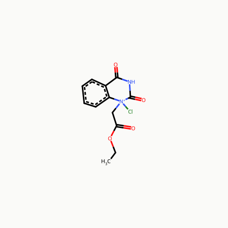 CCOC(=O)C[N+]1(Cl)C(=O)NC(=O)c2ccccc21